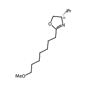 COCCCCCCCC1=N[C@@H](C(C)C)CO1